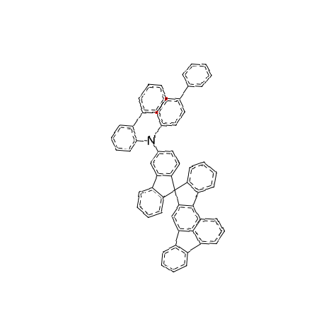 c1ccc(-c2ccc(N(c3ccc4c(c3)-c3ccccc3C43c4ccccc4-c4c3cc3c5c(cccc45)-c4ccccc4-3)c3ccccc3-c3ccccc3)cc2)cc1